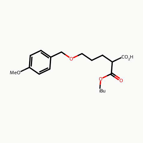 CCC(C)OC(=O)C(CCCOCc1ccc(OC)cc1)C(=O)O